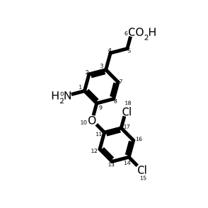 Nc1cc(CCC(=O)O)ccc1Oc1ccc(Cl)cc1Cl